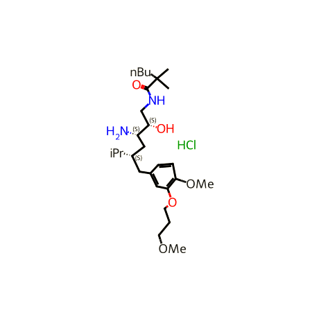 CCCCC(C)(C)C(=O)NC[C@H](O)[C@@H](N)C[C@H](Cc1ccc(OC)c(OCCCOC)c1)C(C)C.Cl